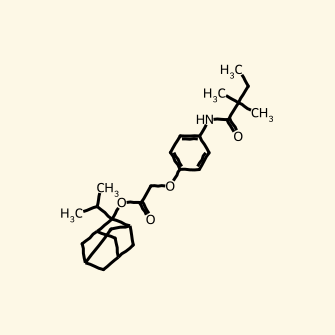 CCC(C)(C)C(=O)Nc1ccc(OCC(=O)OC2(C(C)C)C3CC4CC(C3)CC2C4)cc1